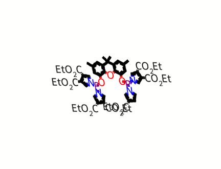 CCOC(=O)c1ccn(P(Oc2cc(C)cc3c2Oc2c(OP(n4cc(C(=O)OCC)c(C(=O)OCC)c4)n4cc(C(=O)OCC)c(C(=O)OCC)c4)cc(C)cc2C3(C)C)n2cc(C(=O)OCC)c(C(=O)OCC)c2)c1